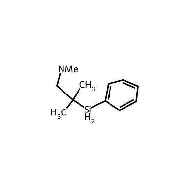 CNCC(C)(C)[SiH2]c1ccccc1